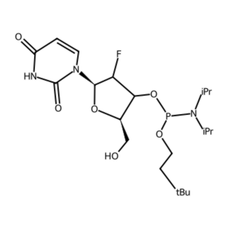 CC(C)N(C(C)C)P(OCCC(C)(C)C)OC1C(F)[C@H](n2ccc(=O)[nH]c2=O)O[C@@H]1CO